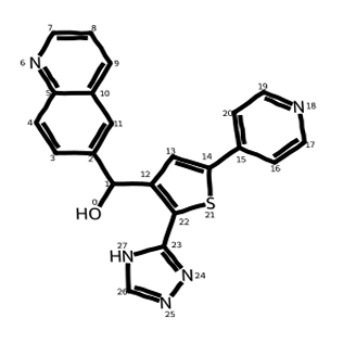 OC(c1ccc2ncccc2c1)c1cc(-c2ccncc2)sc1-c1nnc[nH]1